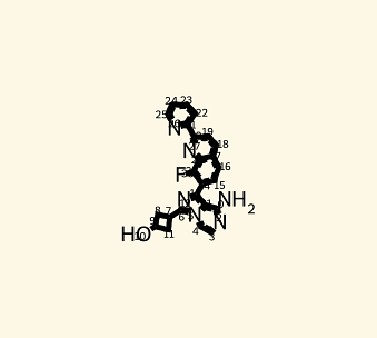 Nc1nccn2c(C3CC(O)C3)nc(-c3ccc4ccc(-c5ccccn5)nc4c3F)c12